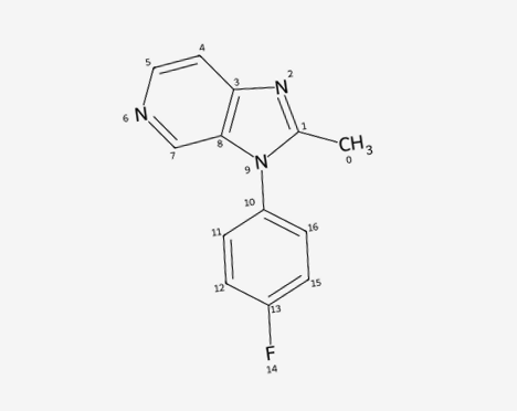 Cc1nc2ccncc2n1-c1ccc(F)cc1